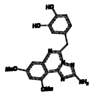 COc1cc(OC)c2c(c1)nc(Cc1ccc(O)c(O)c1)n1nc(N)nc21